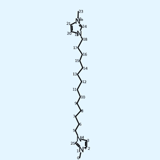 C[n+]1ccn(CCCCCCCCCCCCCCn2cc[n+](C)c2)c1